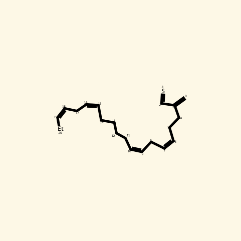 C=C(C=S)CC/C=C\C/C=C\CCCC/C=C\C/C=C\CC